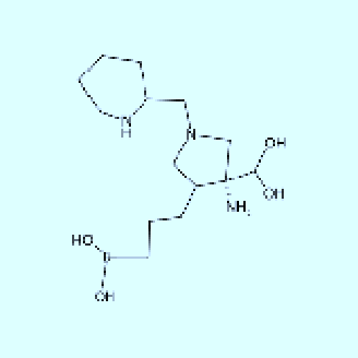 N[C@@]1(C(O)O)CN(CC2CCCCN2)CC1CCCB(O)O